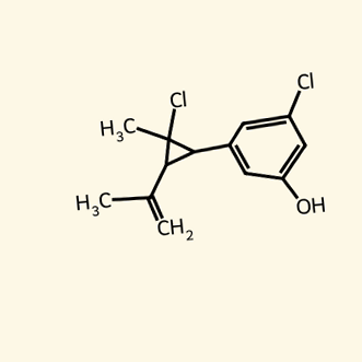 C=C(C)C1C(c2cc(O)cc(Cl)c2)C1(C)Cl